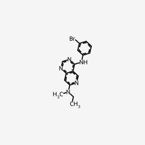 CCN(C)c1cc2ncnc(Nc3cccc(Br)c3)c2cn1